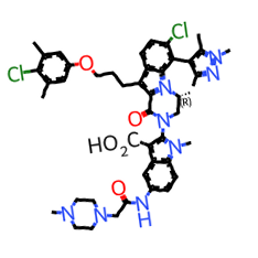 Cc1cc(OCCCc2c3n(c4c(-c5c(C)nn(C)c5C)c(Cl)ccc24)[C@H](C)CN(c2c(C(=O)O)c4cc(NC(=O)CN5CCN(C)CC5)ccc4n2C)C3=O)cc(C)c1Cl